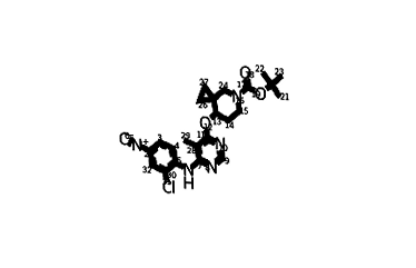 [C-]#[N+]c1ccc(Nc2ncnc(OC3CCN(C(=O)OC(C)(C)C)CC34CC4)c2C)c(Cl)c1